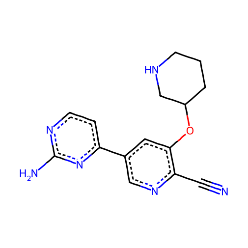 N#Cc1ncc(-c2ccnc(N)n2)cc1OC1CCCNC1